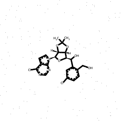 CC1(C)O[C@@H]2[C@H](O1)[C@@H](C(O)c1cc(Cl)ccc1CO)O[C@H]2n1ccc2c(Cl)ncnc21